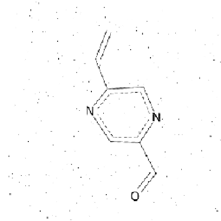 C=Cc1cnc(C=O)cn1